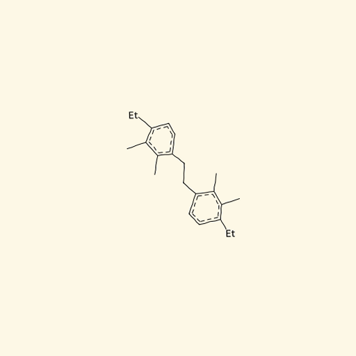 CCc1ccc(CCc2ccc(CC)c(C)c2C)c(C)c1C